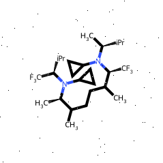 CC(CCC(C)[C@@H](N(C1CC1)[C@@H](C)C(C)C)C(F)(F)F)[C@@H](C)N(C1CC1)[C@H](C(C)C)C(F)(F)F